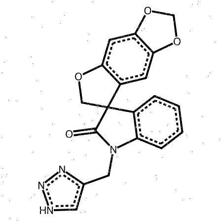 O=C1N(Cc2c[nH]nn2)c2ccccc2C12COc1cc3c(cc12)OCO3